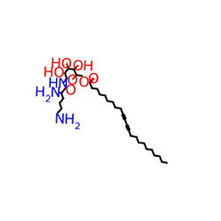 CCCCCCCCCCC#CC#CCCCCCCCCC(=O)OCC1OC(NC(=O)C(N)CCCCN)C(O)C(O)C1O